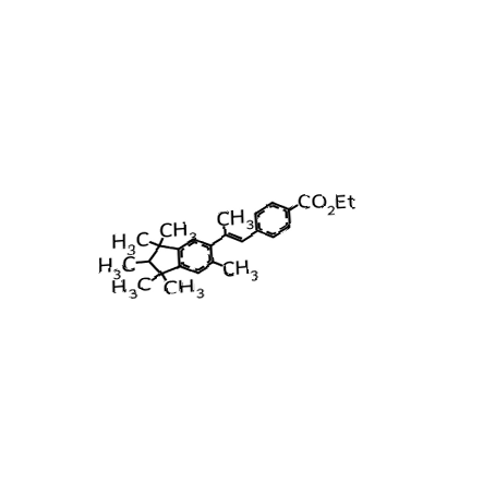 CCOC(=O)c1ccc(/C=C(\C)c2cc3c(cc2C)C(C)(C)C(C)C3(C)C)cc1